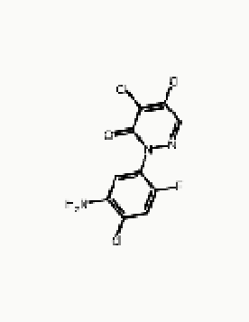 Nc1cc(-n2ncc(Cl)c(Cl)c2=O)c(F)cc1Cl